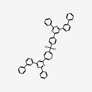 CCC(CC)(C1=CCC=C(c2cc(-c3cccc(-c4ccccc4)c3)nc(-c3ccccc3)n2)C=C1)c1ccc(-c2cc(-c3cccc(-c4ccccc4)c3)nc(-c3ccccc3)n2)cc1